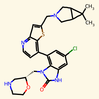 CC1(C)C2CN(Cc3cc4nccc(-c5cc(Cl)cc6[nH]c(=O)n(C[C@H]7CNCCO7)c56)c4s3)CC21